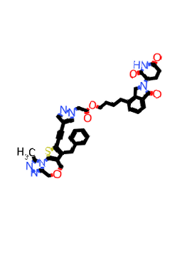 Cc1nnc2n1-c1sc(C#Cc3cnn(CC(=O)OCCCCc4cccc5c4CN(C4CCC(=O)NC4=O)C5=O)c3)c(Cc3ccccc3)c1COC2